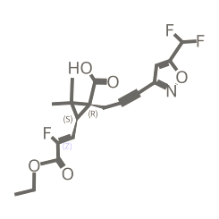 CCOC(=O)/C(F)=C/[C@H]1C(C)(C)[C@]1(CC#Cc1cc(C(F)F)on1)C(=O)O